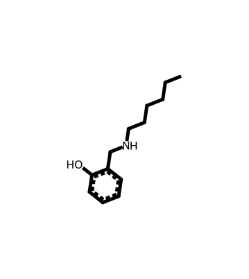 CCCCCCNCc1ccccc1O